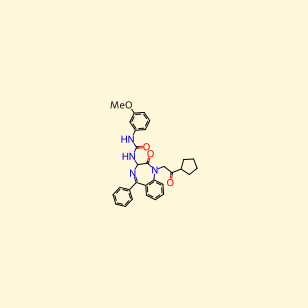 COc1cccc(NC(=O)NC2N=C(c3ccccc3)c3ccccc3N(CC(=O)C3CCCC3)C2=O)c1